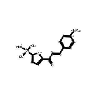 CCC[CH2][Sn]([CH2]CCC)([CH2]CCC)[c]1ccc(C(=O)/C=C/c2ccc(NC)cc2)s1